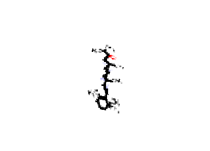 CC1=C(/C=C/C(C)=C/C=C/C(C)=C/C(=O)C(C)C)C(C)(C)CCC1